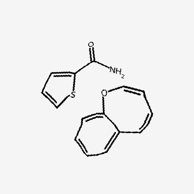 C1=COc2ccccc2C=C1.NC(=O)c1cccs1